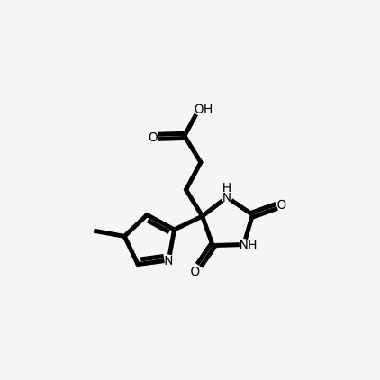 CC1C=NC(C2(CCC(=O)O)NC(=O)NC2=O)=C1